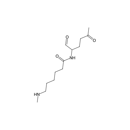 CNCCCCCC(=O)NC(C=O)CCC(C)=O